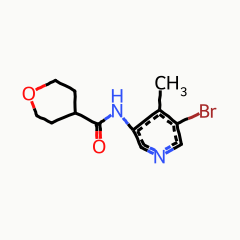 Cc1c(Br)cncc1NC(=O)C1CCOCC1